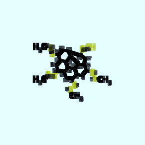 CSSc1cc2c(SSC)cc3c(SSC)cc4c(SSC)cc5c(SS)cc1c1c5c4c3c21